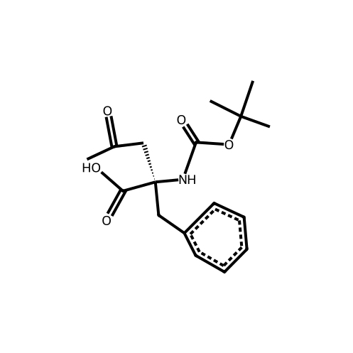 CC(=O)C[C@@](Cc1ccccc1)(NC(=O)OC(C)(C)C)C(=O)O